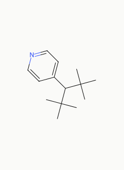 CC(C)(C)C(c1ccncc1)C(C)(C)C